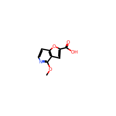 COc1nccc2oc(C(=O)O)cc12